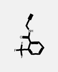 C#CCNC(=O)c1ccccc1C(F)(F)F